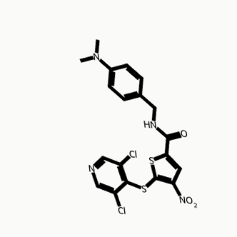 CN(C)c1ccc(CNC(=O)c2cc([N+](=O)[O-])c(Sc3c(Cl)cncc3Cl)s2)cc1